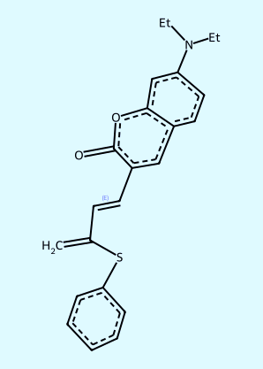 C=C(/C=C/c1cc2ccc(N(CC)CC)cc2oc1=O)Sc1ccccc1